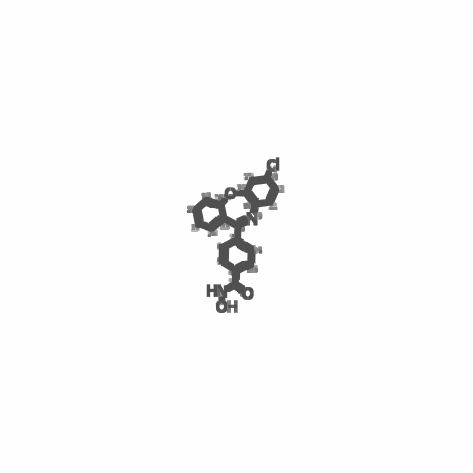 O=C(NO)c1ccc(C2=Nc3ccc(Cl)cc3Oc3ccccc32)cc1